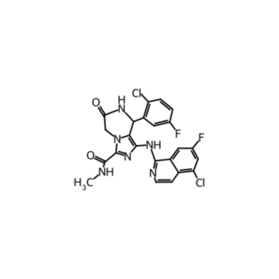 CNC(=O)c1nc(Nc2nccc3c(Cl)cc(F)cc23)c2n1CC(=O)NC2c1cc(F)ccc1Cl